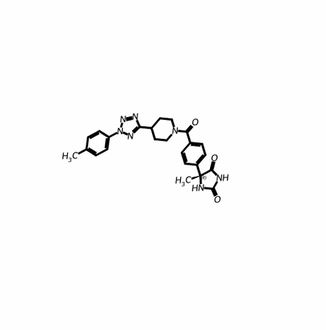 Cc1ccc(-n2nnc(C3CCN(C(=O)c4ccc([C@@]5(C)NC(=O)NC5=O)cc4)CC3)n2)cc1